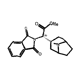 COC(=O)[C@H](C1CC2CCC(C1)N2C)N1C(=O)c2ccccc2C1=O